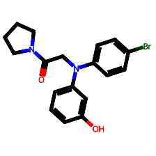 O=C(CN(c1ccc(Br)cc1)c1cccc(O)c1)N1CCCC1